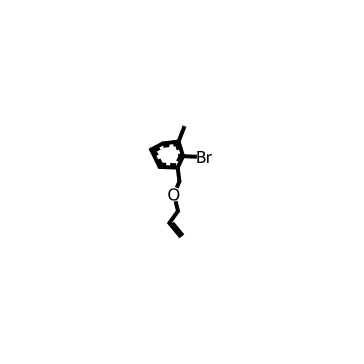 C=CCOCc1cccc(C)c1Br